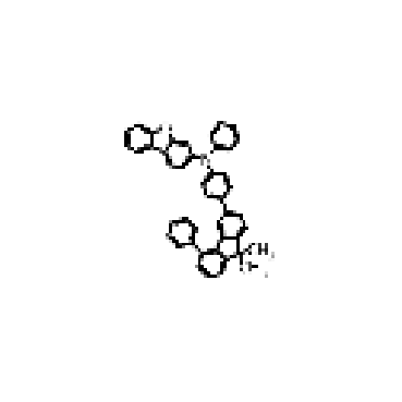 CC1(C)c2ccc(-c3ccc(N(c4ccccc4)c4ccc5c(c4)oc4ccccc45)cc3)cc2-c2c(-c3ccccc3)cccc21